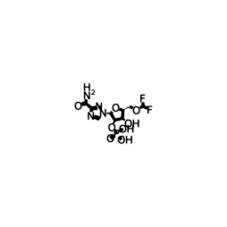 NC(=O)c1ncn([C@@H]2O[C@H](COC(F)F)[C@@H](O)[C@H]2OP(=O)(O)O)n1